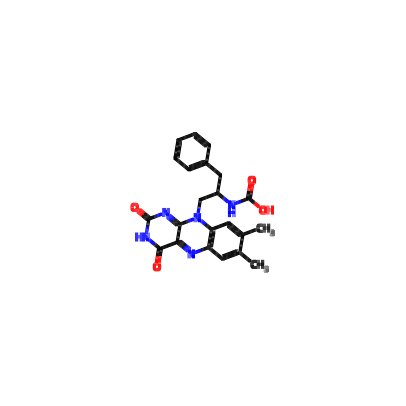 Cc1cc2nc3c(=O)[nH]c(=O)nc-3n(CC(Cc3ccccc3)NC(=O)O)c2cc1C